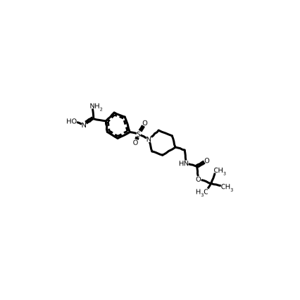 CC(C)(C)OC(=O)NCC1CCN(S(=O)(=O)c2ccc(C(N)=NO)cc2)CC1